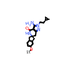 CCOc1ccc2c(c1)CC1(C2)Cc2nn(CCC3CC3)c(N)c2C(=O)N1